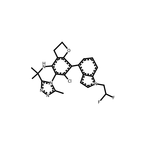 Cc1nnc2n1-c1c(Cl)c(-c3cccc4c3ccn4CC(F)F)c3c(c1NC2(C)C)CCO3